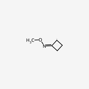 CON=C1[CH]CC1